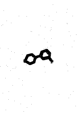 Fc1[c]c(N2CCOCC2)ccc1